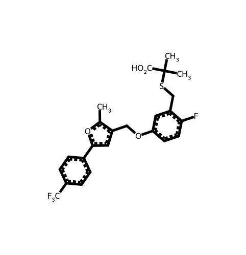 Cc1oc(-c2ccc(C(F)(F)F)cc2)cc1COc1ccc(F)c(CSC(C)(C)C(=O)O)c1